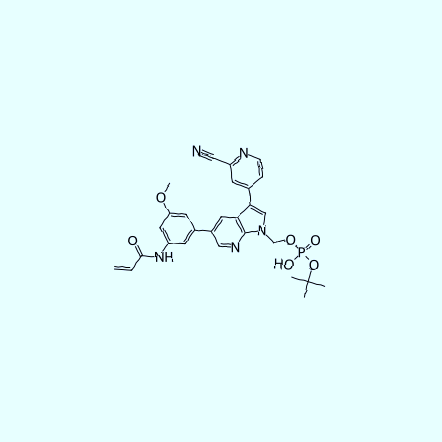 C=CC(=O)Nc1cc(OC)cc(-c2cnc3c(c2)c(-c2ccnc(C#N)c2)cn3COP(=O)(O)OC(C)(C)C)c1